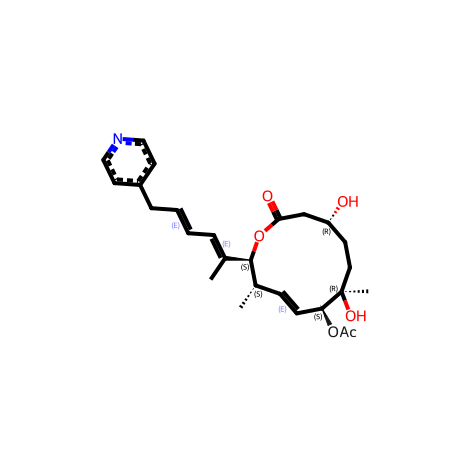 CC(=O)O[C@H]1/C=C/[C@H](C)[C@@H](/C(C)=C/C=C/Cc2ccncc2)OC(=O)C[C@H](O)CC[C@@]1(C)O